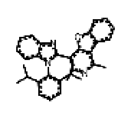 Cc1nc(C)c2c(oc3ccccc32)c1-c1nc2ccccc2n1-c1c(C(C)C)cccc1C(C)C